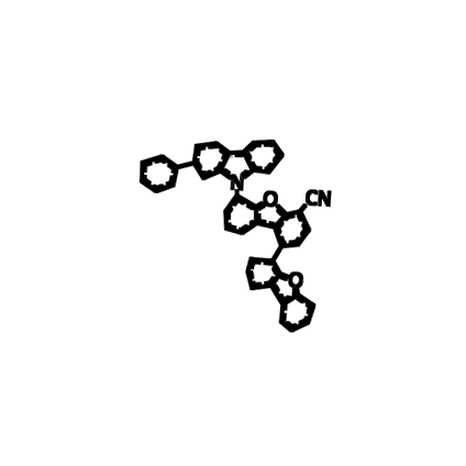 N#Cc1ccc(-c2cccc3c2oc2ccccc23)c2c1oc1c(-n3c4ccccc4c4ccc(-c5ccccc5)cc43)cccc12